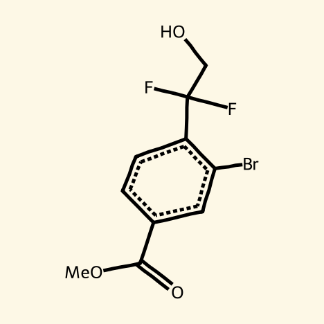 COC(=O)c1ccc(C(F)(F)CO)c(Br)c1